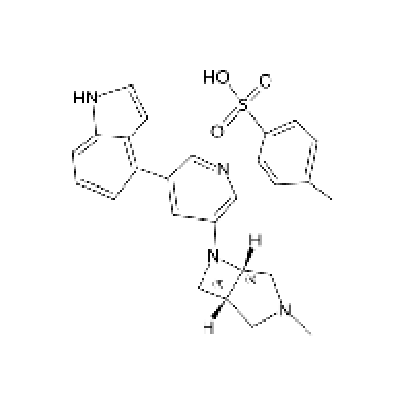 CN1C[C@@H]2CN(c3cncc(-c4cccc5[nH]ccc45)c3)[C@@H]2C1.Cc1ccc(S(=O)(=O)O)cc1